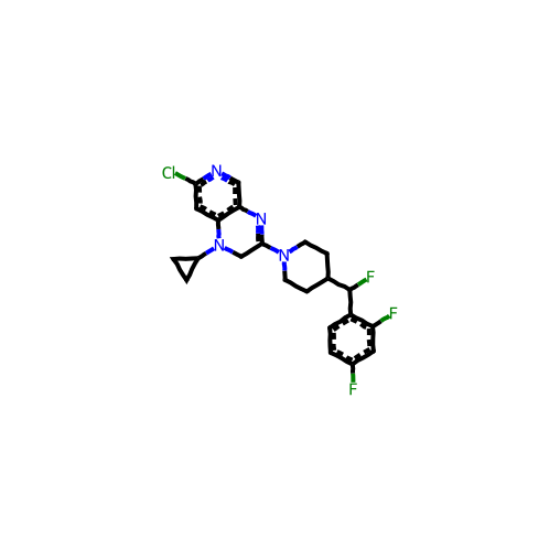 Fc1ccc(C(F)C2CCN(C3=Nc4cnc(Cl)cc4N(C4CC4)C3)CC2)c(F)c1